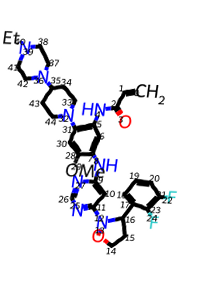 C=CC(=O)Nc1cc(Nc2cc(N3OCCC3c3cccc(F)c3F)ncn2)c(OC)cc1N1CCC(N2CCN(CC)CC2)CC1